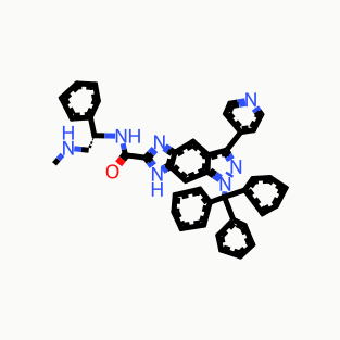 CNC[C@@H](NC(=O)c1nc2cc3c(-c4ccncc4)nn(C(c4ccccc4)(c4ccccc4)c4ccccc4)c3cc2[nH]1)c1ccccc1